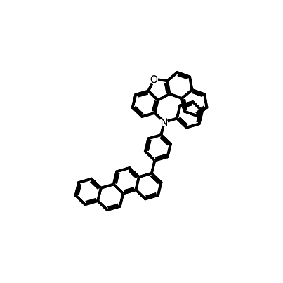 c1ccc(N(c2ccc(-c3cccc4c3ccc3c5ccccc5ccc43)cc2)c2cccc3oc4ccc5ccccc5c4c23)cc1